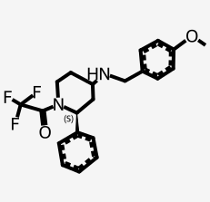 COc1ccc(CNC2CCN(C(=O)C(F)(F)F)[C@H](c3ccccc3)C2)cc1